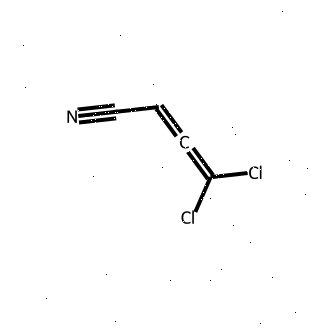 N#CC=C=C(Cl)Cl